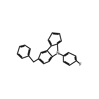 Fc1ccc(-n2c3ccccc3c3cc(Cc4ccccc4)ccc32)cc1